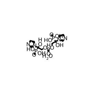 O.O=[PH](OCC(O)(n1ccnc1)P(=O)(O)O)OCC(O)(n1ccnc1)P(=O)(O)O